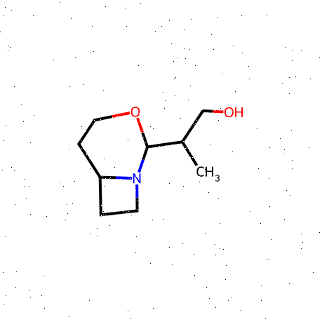 CC(CO)C1OCCC2CCN21